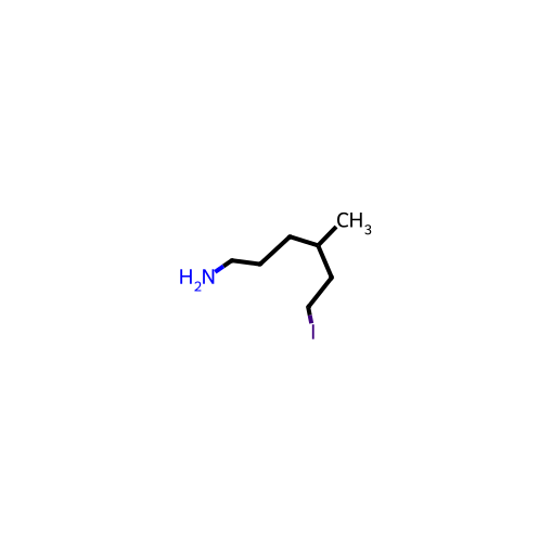 CC(CCI)CCCN